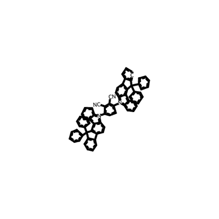 N#Cc1c(-n2c3ccccc3c3c4c(ccc32)-c2ccccc2C4(c2ccccc2)c2ccccc2)ccc(-n2c3ccccc3c3c4c(ccc32)-c2ccccc2C4(c2ccccc2)c2ccccc2)c1C#N